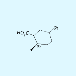 CC(C)C1CC[C@@H](C)C(C(=O)O)C1